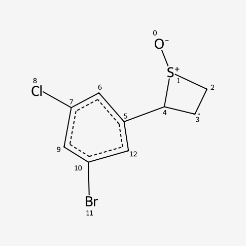 [O-][S+]1C[CH]C1c1cc(Cl)cc(Br)c1